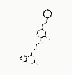 NC(N)=NC(SCCNC1=C([N+](=O)[O-])CC(CCc2ccccc2)CN1)c1cscn1